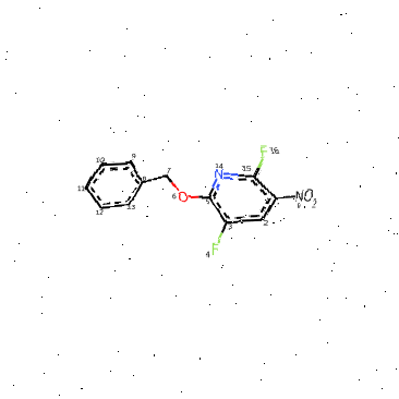 O=[N+]([O-])c1cc(F)c(OCc2ccccc2)nc1F